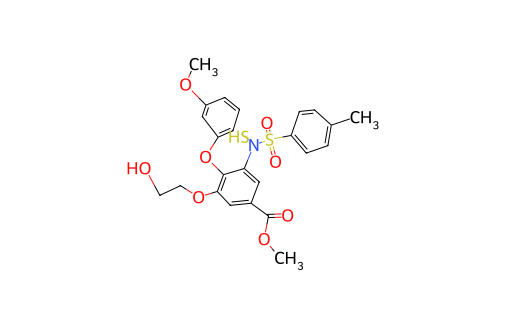 COC(=O)c1cc(OCCO)c(Oc2cccc(OC)c2)c(N(S)S(=O)(=O)c2ccc(C)cc2)c1